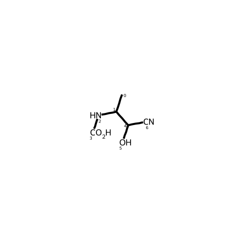 CC(NC(=O)O)C(O)C#N